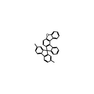 Cc1ccc2c(c1)C1(c3cc(C)ccc3-2)c2ccccc2-c2c1ccc1oc3ccccc3c21